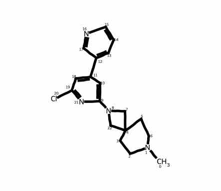 CN1CCC2(CC1)CN(c1cc(-c3cccnc3)cc(Cl)n1)C2